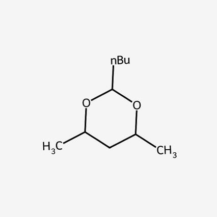 CCCCC1OC(C)CC(C)O1